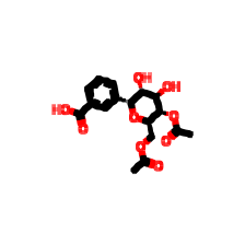 CC(=O)OC[C@H]1O[C@H](c2cccc(C(=O)O)c2)[C@H](O)[C@@H](O)[C@@H]1OC(C)=O